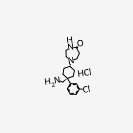 Cl.NC[C@]1(c2cccc(Cl)c2)CC[C@H](N2CCNC(=O)CC2)CC1